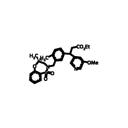 CCOC(=O)CC(c1cncc(OC)c1)c1ccc(C)c(CN2C[C@@H](C)Oc3ccccc3S2(=O)=O)c1